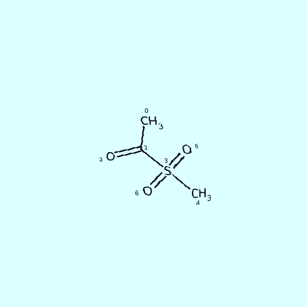 CC(=O)S(C)(=O)=O